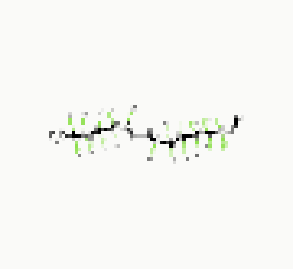 C=CC(F)(F)C(F)(F)C(F)(F)C(F)(F)C(F)(F)C(F)=CC=C(F)C(F)(F)C(F)(F)C(F)(F)C(F)(F)C(F)(F)F